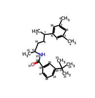 Cc1cc(C)cc(C(C)CCC(C)NC(=O)c2cccc(C(C)(C)C)c2)c1